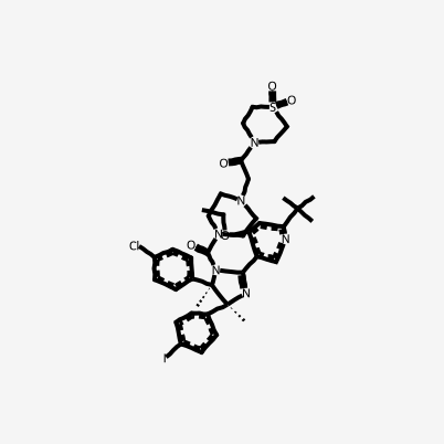 CCOc1cc(C(C)(C)C)ncc1C1=N[C@@](C)(c2ccc(I)cc2)[C@@](C)(c2ccc(Cl)cc2)N1C(=O)N1CCN(CC(=O)N2CCS(=O)(=O)CC2)CC1